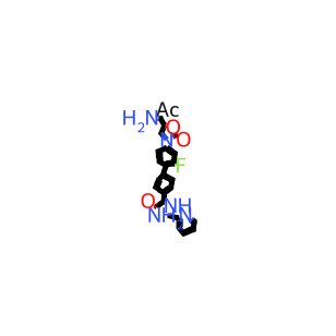 CC(=O)[C@@H](N)C1CN(c2ccc(-c3ccc(C(NCc4ccccn4)C(N)=O)cc3)c(F)c2)C(=O)O1